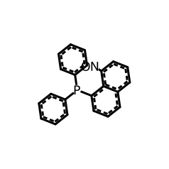 O=Nc1cccc2cccc(P(c3ccccc3)c3ccccc3)c12